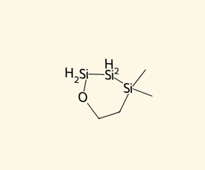 C[Si]1(C)CCO[SiH2][SiH2]1